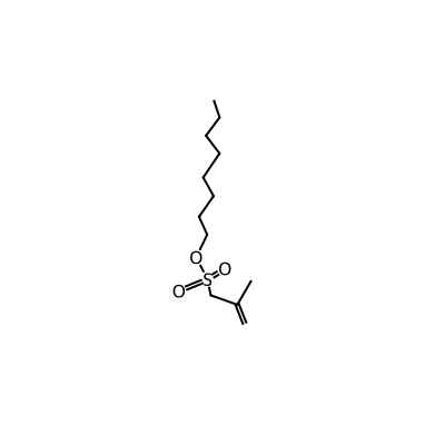 C=C(C)CS(=O)(=O)OCCCCCCCC